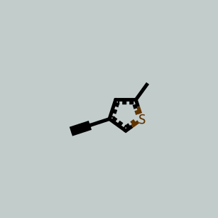 C#Cc1csc(C)c1